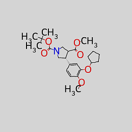 COC(=O)C1CN(C(=O)OC(C)(C)C)C[C@H]1c1ccc(OC)c(OC2CCCC2)c1